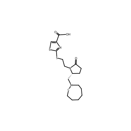 O=C(O)c1csc(SCCN2C(=O)CC[C@@H]2CN2CCCCCCC2)n1